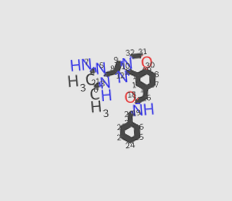 CC(C)N/C(=N\C=N)c1cn2c(n1)-c1cc(CC(=O)NCc3ccccc3)ccc1OCC2